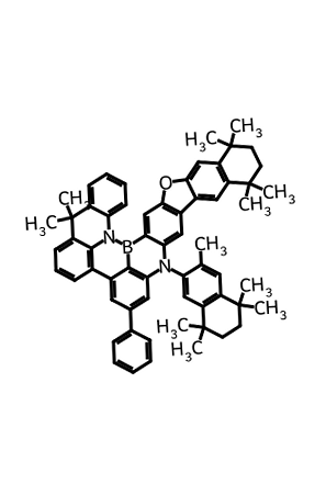 Cc1cc2c(cc1N1c3cc4c(cc3B3c5c(cc(-c6ccccc6)cc51)-c1cccc5c1N3c1ccccc1C5(C)C)oc1cc3c(cc14)C(C)(C)CCC3(C)C)C(C)(C)CCC2(C)C